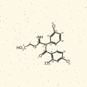 N=C(SCC(=O)O)N(C(=O)c1ccc(Cl)cc1Cl)c1cccc(Cl)c1